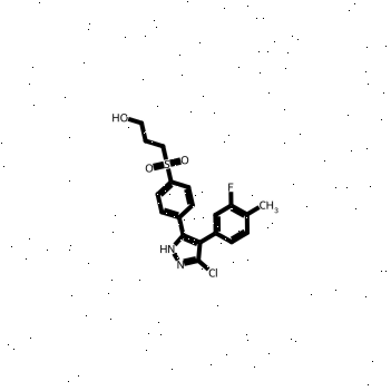 Cc1ccc(-c2c(Cl)n[nH]c2-c2ccc(S(=O)(=O)CCCO)cc2)cc1F